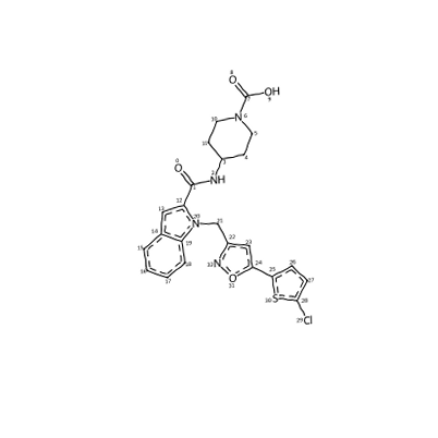 O=C(NC1CCN(C(=O)O)CC1)c1cc2ccccc2n1Cc1cc(-c2ccc(Cl)s2)on1